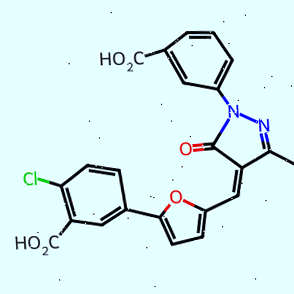 CC1=NN(c2cccc(C(=O)O)c2)C(=O)C1=Cc1ccc(-c2ccc(Cl)c(C(=O)O)c2)o1